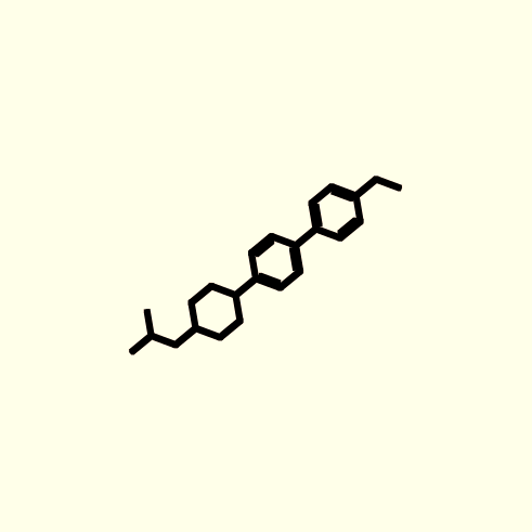 CCc1ccc(-c2ccc(C3CCC(CC(C)C)CC3)cc2)cc1